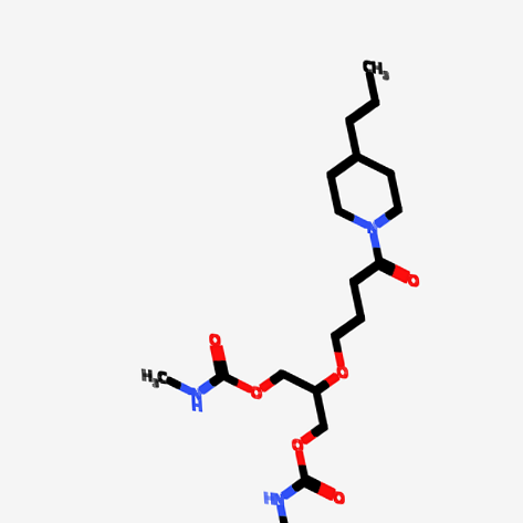 CCCC1CCN(C(=O)CCCOC(COC(=O)NC)COC(=O)NC)CC1